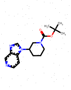 CC(C)(C)OC(=O)N1CCCC(n2cnc3cnccc32)C1